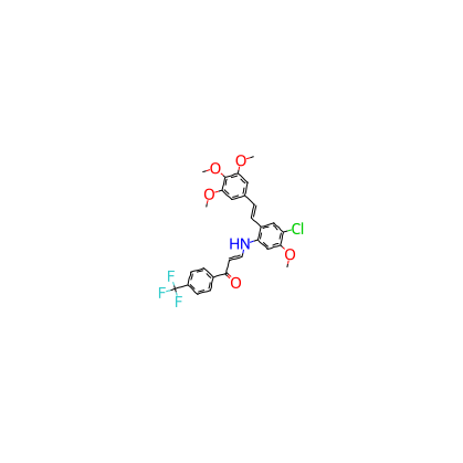 COc1cc(NC=CC(=O)c2ccc(C(F)(F)F)cc2)c(C=Cc2cc(OC)c(OC)c(OC)c2)cc1Cl